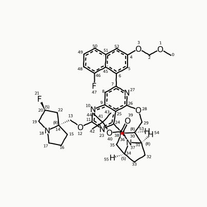 COCOc1cc(-c2cc3nc(OC[C@]45CCCN4C[C@@H](F)C5)nc4c3c(n2)OC[C@H]2[C@H]3CC[C@@H](CN42)N3C(=O)OC(C)(C)C)c2c(F)cccc2c1